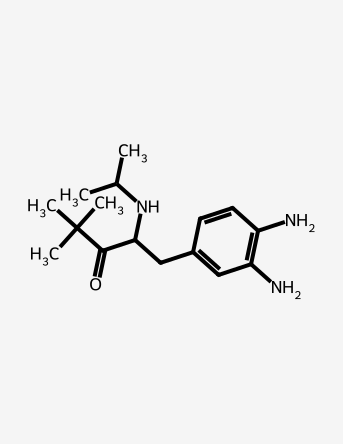 CC(C)NC(Cc1ccc(N)c(N)c1)C(=O)C(C)(C)C